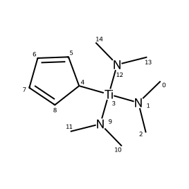 C[N](C)[Ti]([CH]1C=CC=C1)([N](C)C)[N](C)C